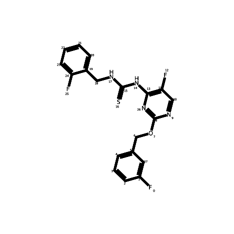 Fc1cccc(COc2ncc(F)c(NC(=S)NCc3ccccc3F)n2)c1